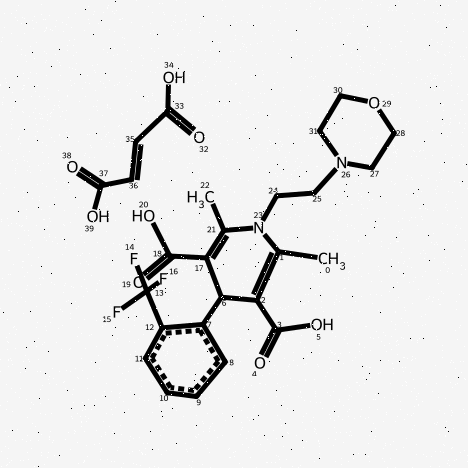 CC1=C(C(=O)O)C(c2ccccc2C(F)(F)F)C(C(=O)O)=C(C)N1CCN1CCOCC1.O=C(O)C=CC(=O)O